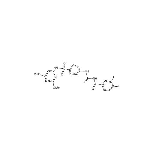 COc1cc(NS(=O)(=O)c2ccc(NC(=S)NC(=O)c3ccc(F)c(F)c3)cc2)nc(OC)n1